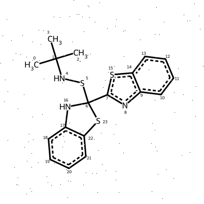 CC(C)(C)NSC1(c2nc3ccccc3s2)Nc2ccccc2S1